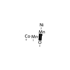 [Co].[Mn].[Ni].[O]=[Mn]